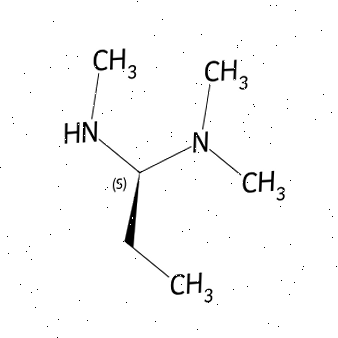 CC[C@@H](NC)N(C)C